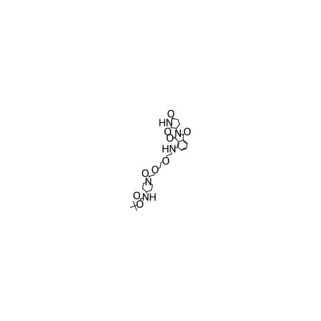 CC(C)(C)OC(=O)NC1CCN(C(=O)COCCOCCNc2cccc3c2C(=O)N(C2CCC(=O)NC2=O)C3=O)CC1